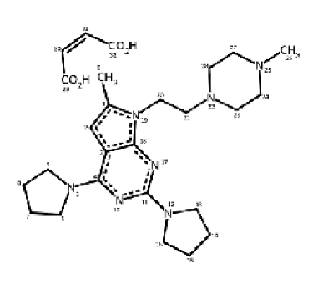 Cc1cc2c(N3CCCC3)nc(N3CCCC3)nc2n1CCN1CCN(C)CC1.O=C(O)/C=C\C(=O)O